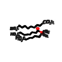 CCCCCCCCCCCCCCCC(=O)O.CCCCOC(=O)CCCCCCC(=O)O.CCOC(=O)CCCCCCCCC(=O)OCC